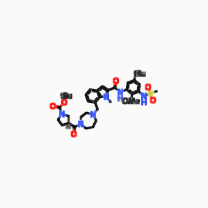 COc1c(NC(=O)c2cc3cccc(CN4CCCN(C(=O)[C@H]5CCN(C(=O)OC(C)(C)C)C5)CC4)c3n2C)cc(C(C)(C)C)cc1NS(C)(=O)=O